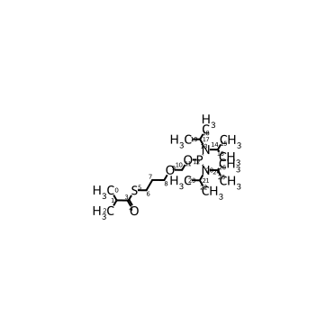 CC(C)C(=O)SCCCOCOP(N(C(C)C)C(C)C)N(C(C)C)C(C)C